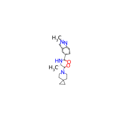 C[C@H](NC(=O)c1ccc2nn(C)cc2c1)C(=O)N1CCC2(CC1)CC2